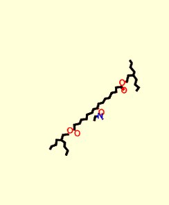 CCCCC(CCCC)CCOC(=O)CCCCCCCC(CCCCCCCC(=O)OCCC(CCCC)CCCC)ON(C)CC